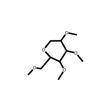 COCC1OCC(OC)C(OC)C1OC